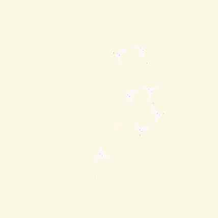 CCn1c(-c2cnc(C)nc2)nc2c(OC3CCN(c4ccc(F)cc4)C3)ncnc21